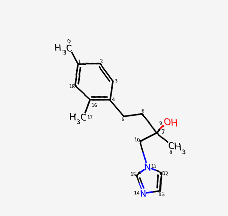 Cc1ccc(CCC(C)(O)Cn2ccnc2)c(C)c1